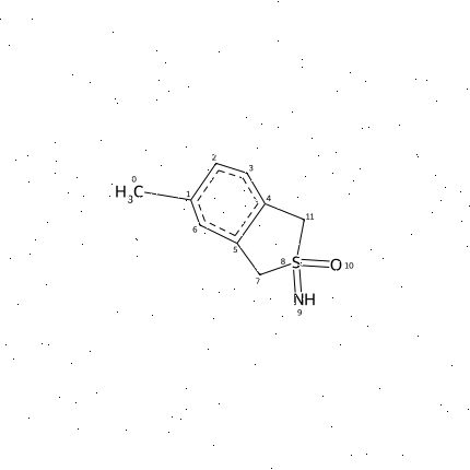 Cc1ccc2c(c1)CS(=N)(=O)C2